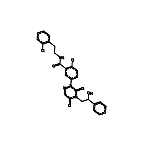 O=C(NCCc1ccccc1Cl)c1cc(-n2ncc(=O)n(CC(O)c3ccccc3)c2=O)ccc1Cl